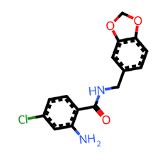 Nc1cc(Cl)ccc1C(=O)NCc1ccc2c(c1)OCO2